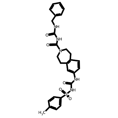 Cc1ccc(S(=O)(=O)NC(=O)Nc2ccc3c(c2)CCN(C(=O)NC(=O)NCc2ccccc2)CC3)cc1